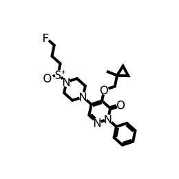 CC1(COc2c(N3CCN([S+]([O-])CCCF)CC3)cnn(-c3ccccc3)c2=O)CC1